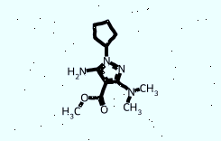 COC(=O)c1c(N(C)C)nn(C2CCCC2)c1N